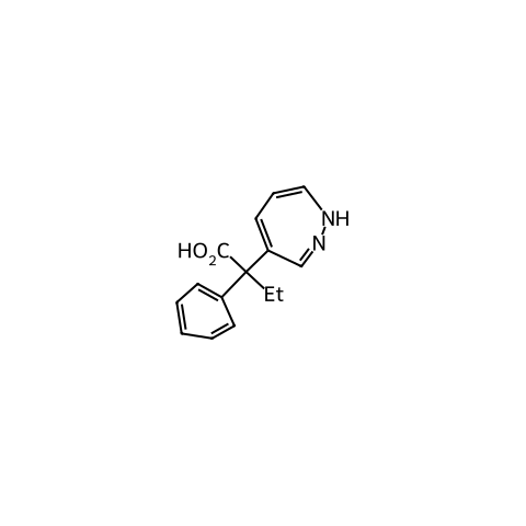 CCC(C(=O)O)(C1=CC=CNN=C1)c1ccccc1